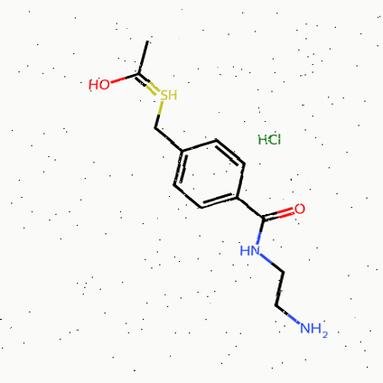 CC(O)=[SH]Cc1ccc(C(=O)NCCN)cc1.Cl